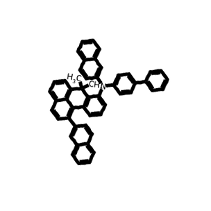 CC1(C)c2c(cccc2N(c2ccc(-c3ccccc3)cc2)c2ccc3ccccc3c2)-c2c(-c3ccc4ccccc4c3)ccc3cccc1c23